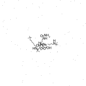 CC(C)[C@H](NC(=O)CCCCCC(C)(C)C)C(=O)N[C@@H](CCCNC(N)=O)C(=O)N[C@H](CCCCNC(C)(C)C)C(=O)O